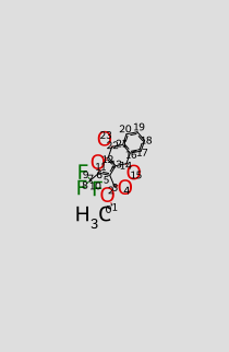 CCOC(=O)c1c(C(F)(F)F)oc2c1C(=O)c1ccccc1C2=O